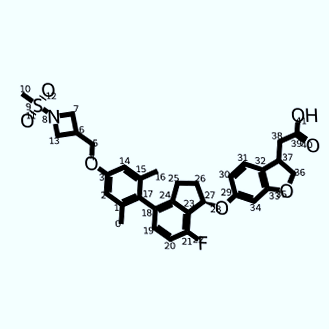 Cc1cc(OCC2CN(S(C)(=O)=O)C2)cc(C)c1-c1ccc(F)c2c1CC[C@H]2Oc1ccc2c(c1)OCC2CC(=O)O